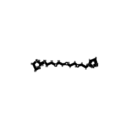 c1cn(CCOCCOCCOCCN=C2SCCS2)nn1